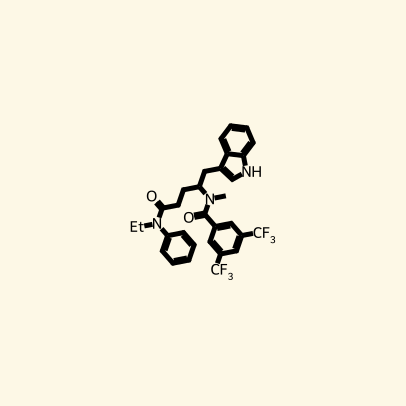 CCN(C(=O)CCC(Cc1c[nH]c2ccccc12)N(C)C(=O)c1cc(C(F)(F)F)cc(C(F)(F)F)c1)c1ccccc1